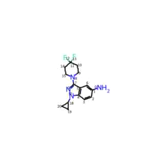 Nc1ccc2c(c1)c(N1CCC(F)(F)CC1)nn2C1CC1